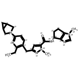 CCc1nc(N2CC3CC3C2)ccc1Cc1cc(C(=O)N[C@@H]2CCc3c2ncn3C)n(C)n1